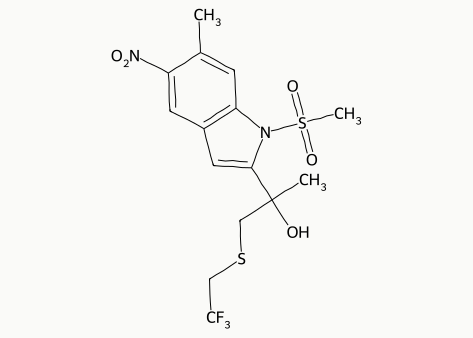 Cc1cc2c(cc1[N+](=O)[O-])cc(C(C)(O)CSCC(F)(F)F)n2S(C)(=O)=O